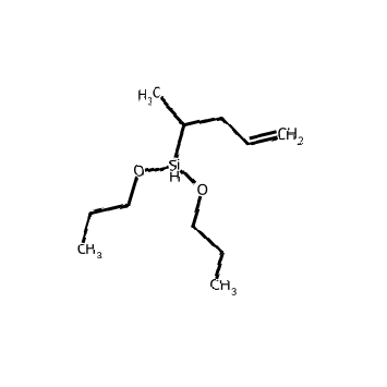 C=CCC(C)[SiH](OCCC)OCCC